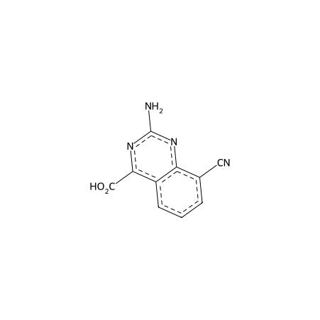 N#Cc1cccc2c(C(=O)O)nc(N)nc12